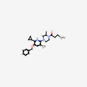 COCCC(=O)N1CCN(c2nc(C3CC3)c(OCc3ccccc3)cc2C#N)CC1C